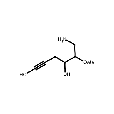 COC(CN)C(O)CC#CO